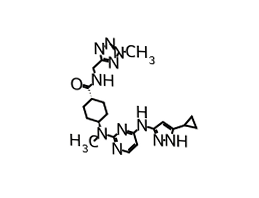 Cn1nnc(CNC(=O)[C@H]2CC[C@H](N(C)c3nccc(Nc4cc(C5CC5)[nH]n4)n3)CC2)n1